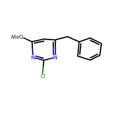 COc1cc(Cc2ccccc2)nc(Cl)n1